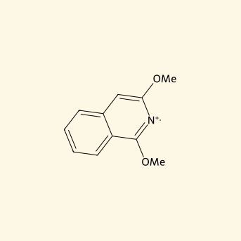 COC1=Cc2ccccc2C(OC)=[N+]1